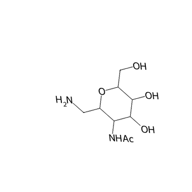 CC(=O)NC1C(CN)OC(CO)C(O)C1O